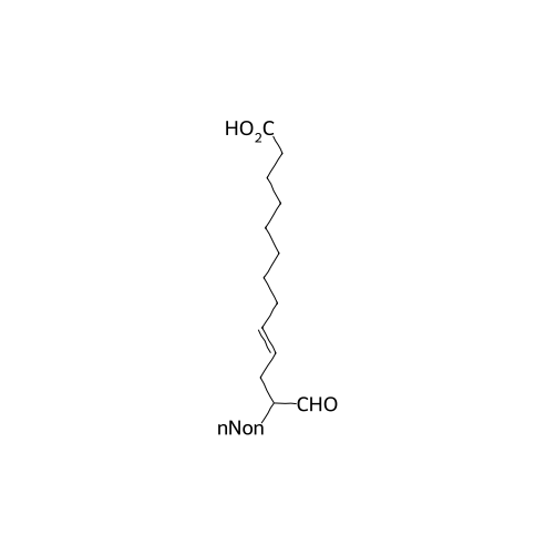 CCCCCCCCCC(C=O)CC=CCCCCCCCC(=O)O